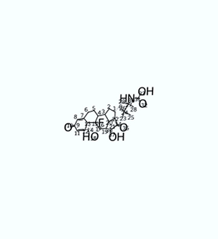 C[C@H]1CC2C3CCC4=CC(=O)C=C[C@]4(C)C3(F)[C@@H](O)C[C@]2(C)[C@]1(CC(C)(C)C(C)(C)NC(=O)O)C(=O)CO